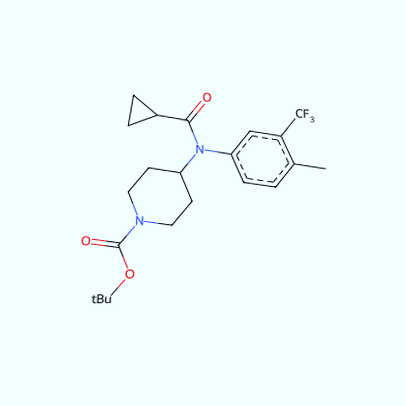 Cc1ccc(N(C(=O)C2CC2)C2CCN(C(=O)OC(C)(C)C)CC2)cc1C(F)(F)F